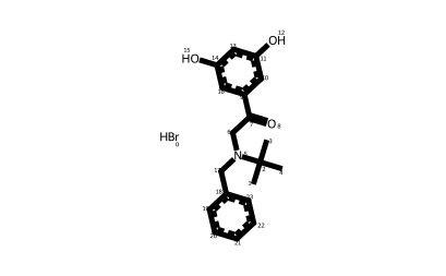 Br.CC(C)(C)N(CC(=O)c1cc(O)cc(O)c1)Cc1ccccc1